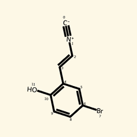 [C-]#[N+]C=Cc1cc(Br)ccc1O